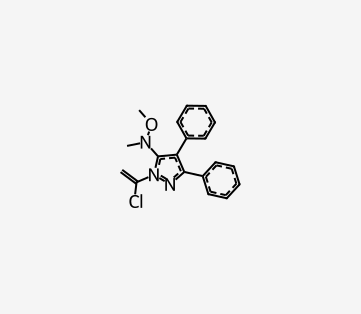 C=C(Cl)n1nc(-c2ccccc2)c(-c2ccccc2)c1N(C)OC